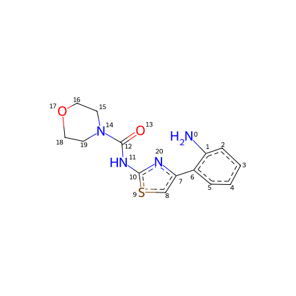 Nc1ccccc1-c1csc(NC(=O)N2CCOCC2)n1